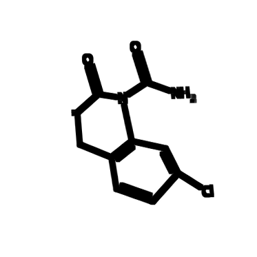 NC(=O)N1C(=O)[C]Cc2ccc(Cl)cc21